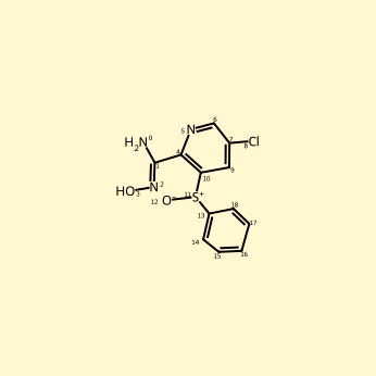 NC(=NO)c1ncc(Cl)cc1[S+]([O-])c1ccccc1